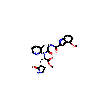 COC(=O)[C@H](C[C@@H]1CCNC1=O)NC(=O)[C@H](Cc1cccnc1)NC(=O)c1cc2c(OC)cccc2[nH]1